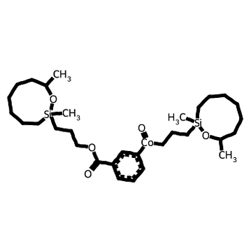 CC1CCCCCC[Si](C)(CCCOC(=O)c2ccc[c]([Co](=[O])[CH2]CC[Si]3(C)CCCCCCC(C)O3)c2)O1